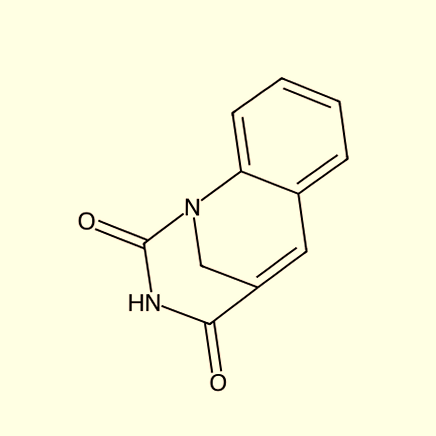 O=C1NC(=O)N2CC1=Cc1ccccc12